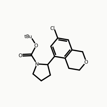 CC(C)(C)OC(=O)N1CCCC1c1cc(Cl)cc2c1CCOC2